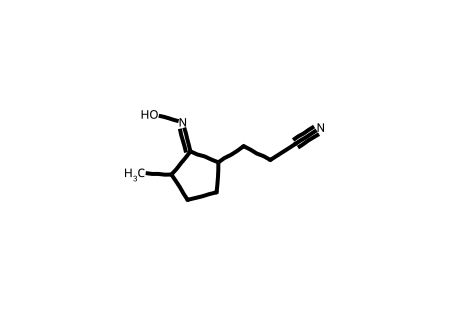 CC1CCC(CCC#N)/C1=N/O